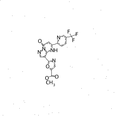 COC(=O)c1cnc(-c2cnn3c(=O)cc(-c4ccc(C(F)(F)F)cn4)[nH]c23)o1